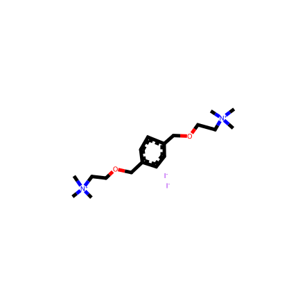 C[N+](C)(C)CCOCc1ccc(COCC[N+](C)(C)C)cc1.[I-].[I-]